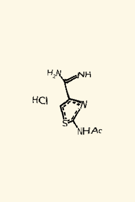 CC(=O)Nc1nc(C(=N)N)cs1.Cl